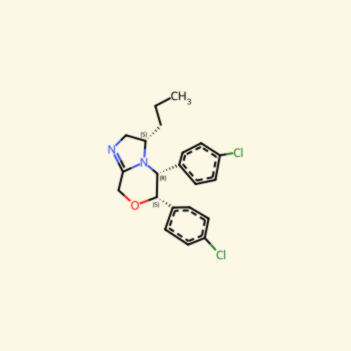 CCC[C@H]1CN=C2CO[C@@H](c3ccc(Cl)cc3)[C@@H](c3ccc(Cl)cc3)N21